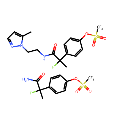 CC(F)(C(N)=O)c1ccc(OS(=O)(=O)C(F)(F)F)cc1.Cc1ccnn1CCNC(=O)C(C)(F)c1ccc(OS(=O)(=O)C(F)(F)F)cc1